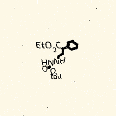 CCOC(=O)C(CCNNC(=O)OC(C)(C)C)c1ccccc1